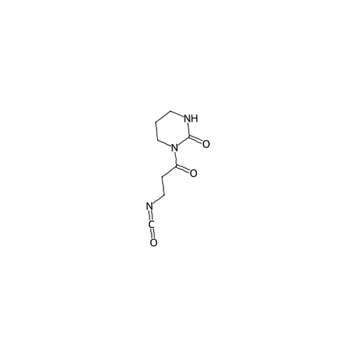 O=C=NCCC(=O)N1CCCNC1=O